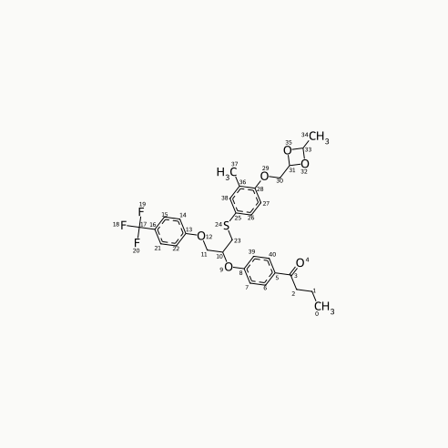 CCCC(=O)c1ccc(OC(COc2ccc(C(F)(F)F)cc2)CSc2ccc(OCC3OC(C)O3)c(C)c2)cc1